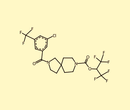 O=C(OC(C(F)(F)F)C(F)(F)F)N1CCC2(CC1)CCN(C(=O)c1cc(Cl)cc(C(F)(F)F)c1)C2